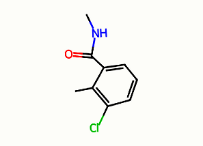 CNC(=O)c1cccc(Cl)c1C